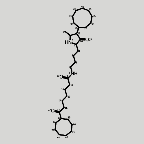 CC1NC(CCCCNC(=O)CCCCCC(=O)C2CCCCCCC2)C(=O)C1C1CCCCCCCC1